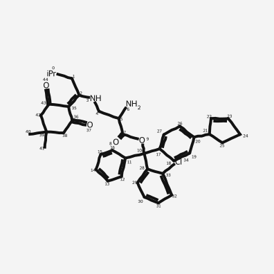 CC(C)CC(NCC(N)C(=O)OC(c1ccccc1)(c1ccc(C2C=CCC2)cc1)c1ccccc1Cl)=C1C(=O)CC(C)(C)CC1=O